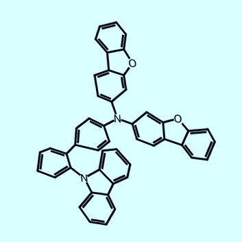 c1ccc(-n2c3ccccc3c3ccccc32)c(-c2ccc(N(c3ccc4c(c3)oc3ccccc34)c3ccc4c(c3)oc3ccccc34)cc2)c1